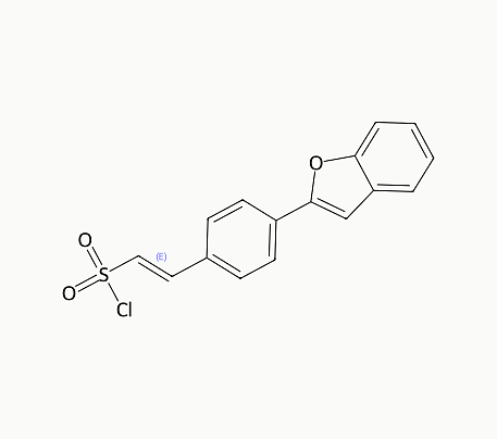 O=S(=O)(Cl)/C=C/c1ccc(-c2cc3ccccc3o2)cc1